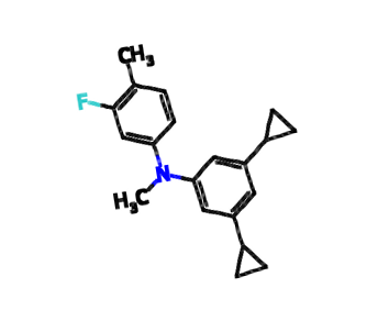 Cc1ccc(N(C)c2cc(C3CC3)cc(C3CC3)c2)cc1F